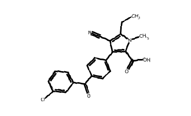 CCc1c(C#N)c(-c2ccc(C(=O)c3cccc(Cl)c3)cc2)c(C(=O)O)n1C